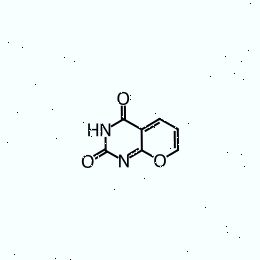 O=c1nc2occcc-2c(=O)[nH]1